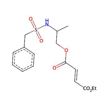 CCOC(=O)/C=C/C(=O)OCC(C)NS(=O)(=O)Cc1ccccc1